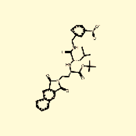 CC(C)C[C@H](N[C@H](CCN1C(=O)c2cc3ccccc3cc2C1=O)C(=O)OC(C)(C)C)C(=O)NCc1cccc([N+](=O)[O-])c1